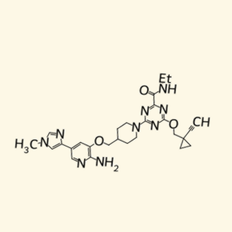 C#CC1(COc2nc(C(=O)NCC)nc(N3CCC(COc4cc(-c5cn(C)cn5)cnc4N)CC3)n2)CC1